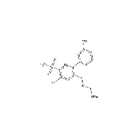 COCOCc1cc(C#N)c(S(C)(=O)=O)nc1-c1cccc(OC)c1